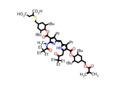 C=C(C)C(=O)OCC1CC(C(C)(C)C)C(OC(=O)c2c(CC(=O)C(CC)(CC)CC)[nH]c(/C=C3\N=C(N(C)C(=O)C(CC)(CC)CC)C(C(=O)OC4C(C(C)(C)C)CC(CSC(CC(=O)O)C(=O)O)CC4C(C)(C)C)=C3C(C)C)c2C(C)C)C(C(C)(C)C)C1